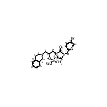 CC(C)(C)[Si](C)(C)OC(CN1CCc2ccccc2C1)CN1CCN(Cc2ccc(Br)cn2)C1=O